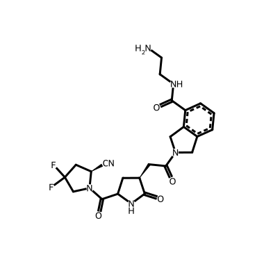 N#C[C@@H]1CC(F)(F)CN1C(=O)C1C[C@@H](CC(=O)N2Cc3cccc(C(=O)NCCN)c3C2)C(=O)N1